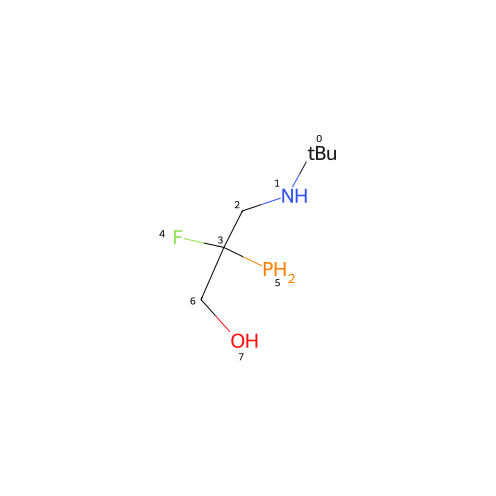 CC(C)(C)NCC(F)(P)CO